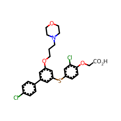 O=C(O)COc1ccc(Sc2cc(OCCCN3CCOCC3)cc(-c3ccc(Cl)cc3)c2)cc1Cl